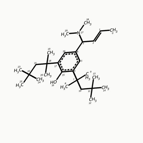 CC=CC(c1cc(C(C)(C)CC(C)(C)C)c(O)c(C(C)(C)CC(C)(C)C)c1)N(C)C